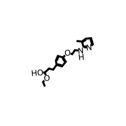 CCOC(O)CCc1ccc(OCCNc2ncccc2C)cc1